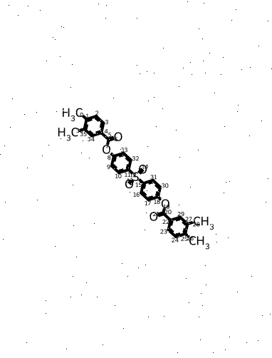 Cc1ccc(C(=O)Oc2ccc(S(=O)(=O)c3ccc(OC(=O)c4ccc(C)c(C)c4)cc3)cc2)cc1C